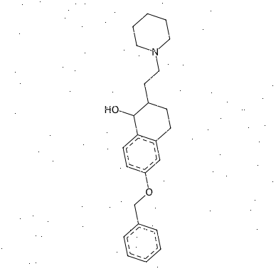 OC1c2ccc(OCc3ccccc3)cc2CCC1CCN1CCCCC1